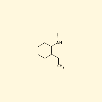 CCC1CCCCC1NI